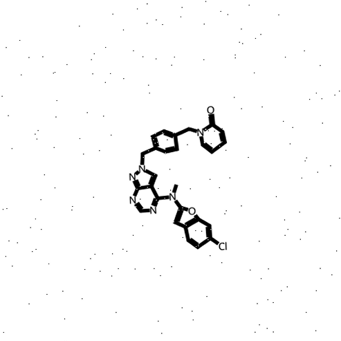 CN(c1cc2ccc(Cl)cc2o1)c1ncnc2nn(Cc3ccc(Cn4ccccc4=O)cc3)cc12